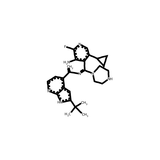 C=C(/N=C(\c1c(C2CC2)cnc(F)c1N)N1CCNCC1)c1ccnc2[nH]c(C(C)(C)C)cc12